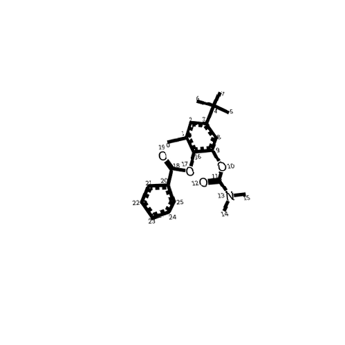 Cc1cc(C(C)(C)C)cc(OC(=O)N(C)C)c1OC(=O)c1ccccc1